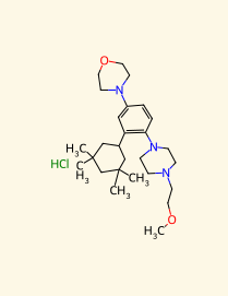 COCCN1CCN(c2ccc(N3CCOCC3)cc2C2CC(C)(C)CC(C)(C)C2)CC1.Cl